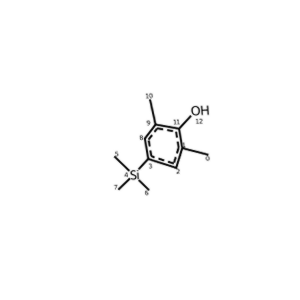 Cc1cc([Si](C)(C)C)cc(C)c1O